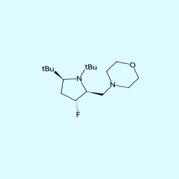 CC(C)(C)[C@@H]1C[C@@H](F)[C@H](CN2CCOCC2)N1C(C)(C)C